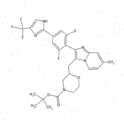 Cc1ccn2c(CC3CN(C(=O)OC(C)(C)C)CCO3)c(-c3c(F)cc(-c4nc(C(F)(F)F)c[nH]4)cc3F)nc2c1